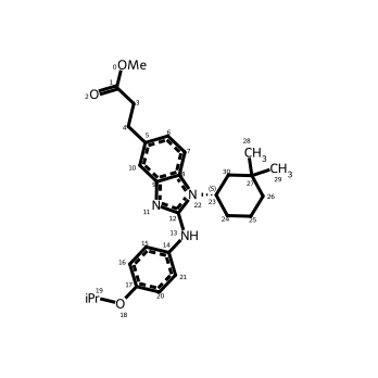 COC(=O)CCc1ccc2c(c1)nc(Nc1ccc(OC(C)C)cc1)n2[C@H]1CCCC(C)(C)C1